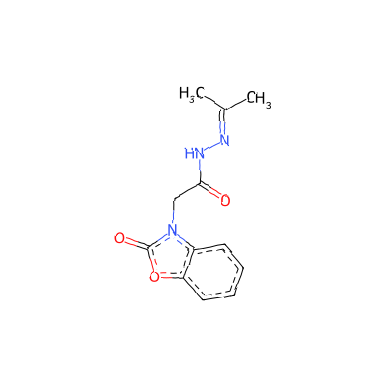 CC(C)=NNC(=O)Cn1c(=O)oc2ccccc21